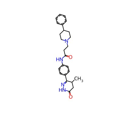 CC1CC(=O)NN=C1c1ccc(NC(=O)CCN2CCC(c3ccccc3)CC2)cc1